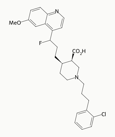 COc1ccc2nccc(C(F)CC[C@@H]3CCN(CCCc4ccccc4Cl)C[C@@H]3C(=O)O)c2c1